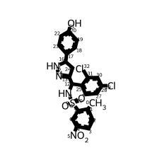 Cc1ccc([N+](=O)[O-])cc1S(=O)(=O)NC(C1=NNC(c2ccc(O)cc2)C1)c1ccc(Cl)cc1Cl